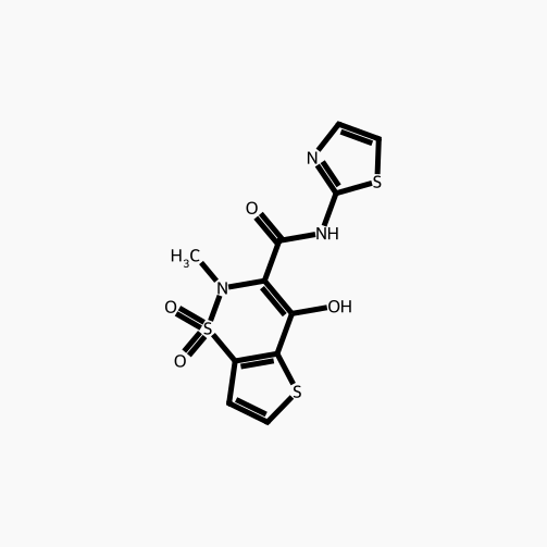 CN1C(C(=O)Nc2nccs2)=C(O)c2sccc2S1(=O)=O